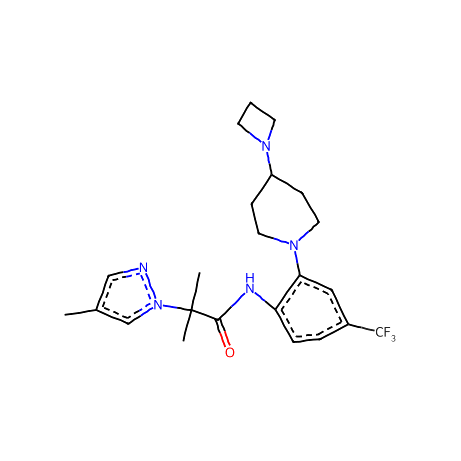 Cc1cnn(C(C)(C)C(=O)Nc2ccc(C(F)(F)F)cc2N2CCC(N3CCC3)CC2)c1